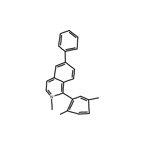 Cc1ccc(C)c(-c2c3ccc(-c4ccccc4)cc3cc[n+]2C)c1